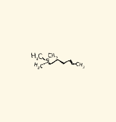 CC=CCCC[Si](C)(C)C